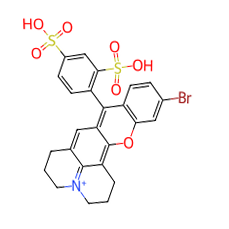 O=S(=O)(O)c1ccc(C2=c3cc4c5c(c3Oc3cc(Br)ccc32)CCC[N+]=5CCC4)c(S(=O)(=O)O)c1